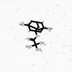 CC(C)(C)C(=O)OC12CC3CC(O)(CC(O)(C3)C1)C2